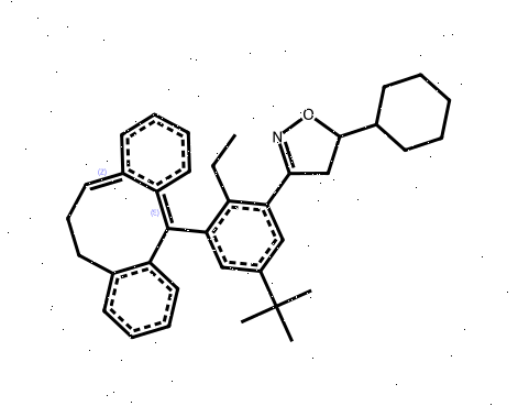 CCc1c(C2=NOC(C3CCCCC3)C2)cc(C(C)(C)C)cc1/C1=c2\cccc\c2=C\CCc2ccccc21